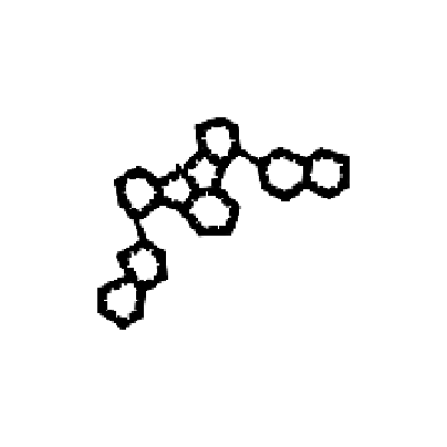 c1ccc2cc(-c3cccc4c3c3cccc5c6c(-c7ccc8ccccc8c7)cccc6n4c35)ccc2c1